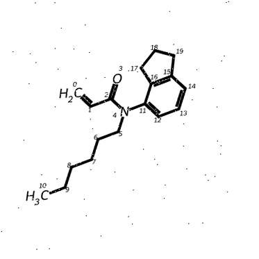 C=CC(=O)N(CCCCCC)c1cccc2c1CCC2